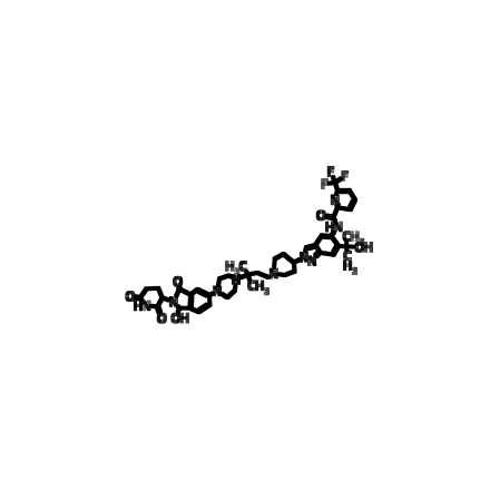 CC(C)(O)c1cc2nn(C3CCN(CCC(C)(C)N4CCN(c5ccc6c(c5)C(=O)N(C5CCC(=O)NC5=O)C6O)CC4)CC3)cc2cc1NC(=O)c1cccc(C(F)(F)F)n1